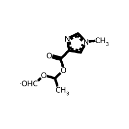 CC(O[C]=O)OC(=O)c1cn(C)cn1